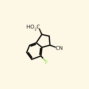 N#CC1CC(C(=O)O)c2cccc(F)c21